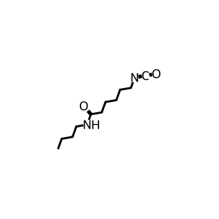 CCCCNC(=O)CCCCCN=C=O